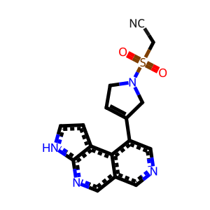 N#CCS(=O)(=O)N1CC=C(c2cncc3cnc4[nH]ccc4c23)C1